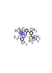 Cc1ccc(C(C)N(C)C)cc1-c1ccc(C(F)(F)F)cc1CN(Cc1cc(C(F)(F)F)cc(C(F)(F)F)c1)c1nnn(C)n1